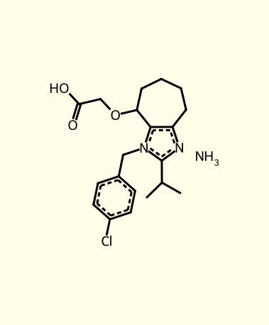 CC(C)c1nc2c(n1Cc1ccc(Cl)cc1)C(OCC(=O)O)CCCC2.N